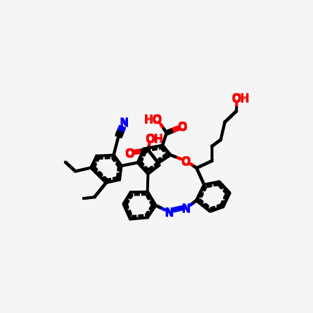 CCc1cc(C#N)c(-c2cc(C(=O)O)c3c(C(=O)O)c2-c2ccccc2N=Nc2ccccc2C(CCCCCO)O3)cc1CC